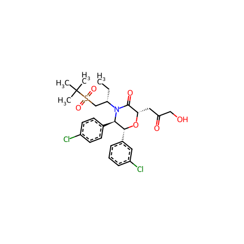 CC[C@@H](CS(=O)(=O)C(C)(C)C)N1C(=O)[C@H](CC(=O)CO)O[C@H](c2cccc(Cl)c2)[C@H]1c1ccc(Cl)cc1